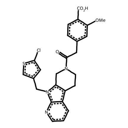 COc1cc(CC(=O)N2CCc3c(n(Cc4csc(Cl)c4)c4ncccc34)C2)ccc1C(=O)O